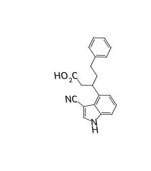 N#Cc1c[nH]c2cccc(C(CCc3ccccc3)CC(=O)O)c12